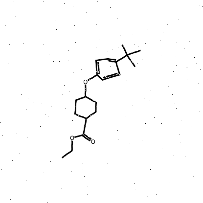 CCOC(=O)C1CCC(Oc2ccc(C(C)(C)C)cc2)CC1